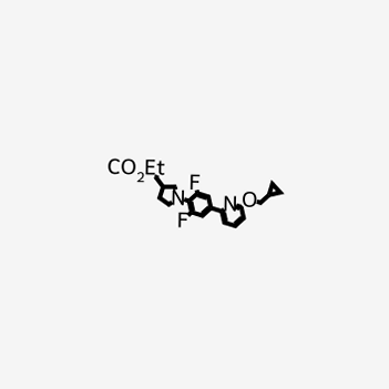 CCOC(=O)CC1CCN(c2c(F)cc(-c3cccc(OCC4CC4)n3)cc2F)C1